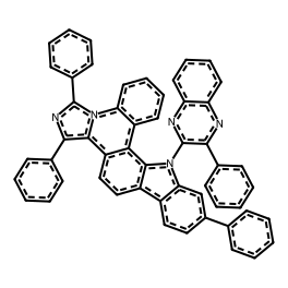 c1ccc(-c2ccc3c4ccc5c(c6ccccc6n6c(-c7ccccc7)nc(-c7ccccc7)c56)c4n(-c4nc5ccccc5nc4-c4ccccc4)c3c2)cc1